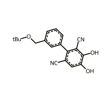 CC(C)(C)OCc1cccc(-c2c(C#N)cc(O)c(O)c2C#N)c1